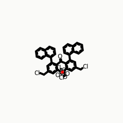 O=C(c1c(-c2cccc3ccccc23)cc(CCl)cc1S(=O)(=O)Cl)c1c(-c2cccc3ccccc23)cc(CCl)cc1S(=O)(=O)Cl